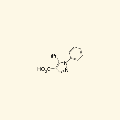 CC(C)c1c(C(=O)O)cnn1-c1ccccc1